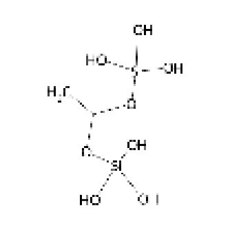 CC(O[Si](O)(O)O)O[Si](O)(O)O